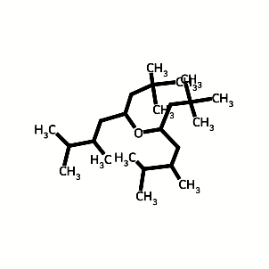 CC(C)C(C)CC(CC(C)(C)C)OC(CC(C)C(C)C)CC(C)(C)C